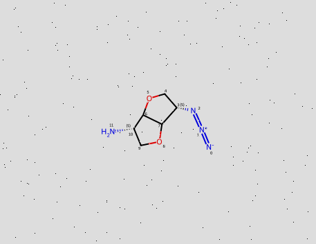 [N-]=[N+]=N[C@H]1COC2C1OC[C@@H]2N